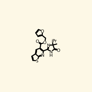 CC(C)C1(C)N=C(c2nc3sccc3cc2C(=O)OCc2ccco2)NC1=O